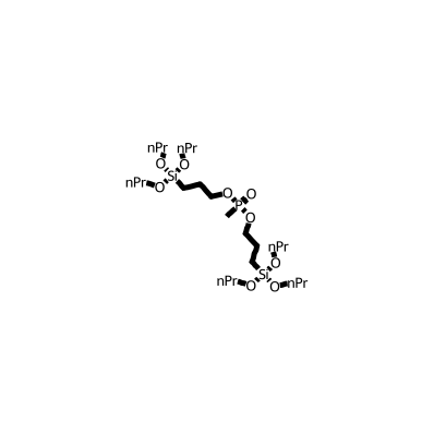 CCCO[Si](CCCOP(C)(=O)OCCC[Si](OCCC)(OCCC)OCCC)(OCCC)OCCC